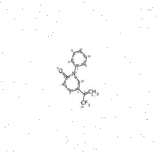 C=C(c1ccc(=O)n(-c2ccccc2)c1)C(F)(F)F